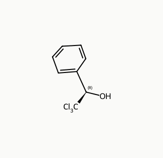 O[C@H](c1ccccc1)C(Cl)(Cl)Cl